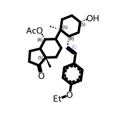 CCOc1ccc(/C=C/[C@H]2C[C@@H](O)CC[C@]2(C)C2CC[C@]3(C)C(=O)CCC3[C@@H]2OC(C)=O)cc1